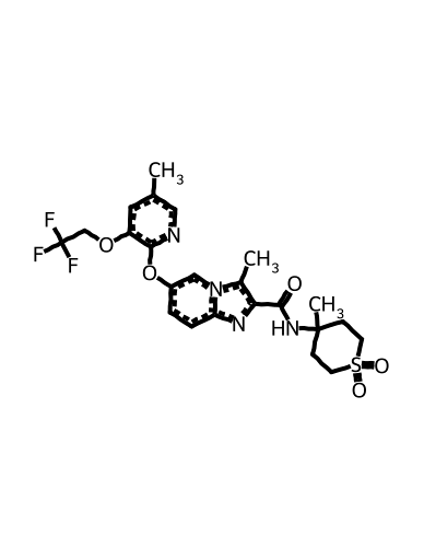 Cc1cnc(Oc2ccc3nc(C(=O)NC4(C)CCS(=O)(=O)CC4)c(C)n3c2)c(OCC(F)(F)F)c1